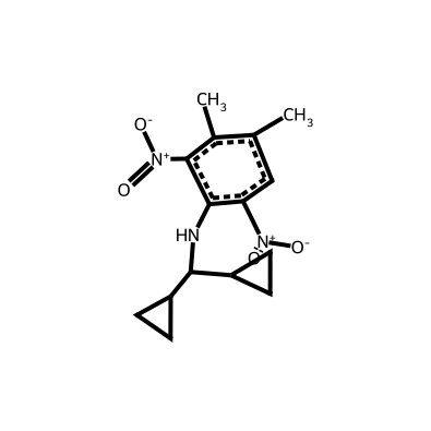 Cc1cc([N+](=O)[O-])c(NC(C2CC2)C2CC2)c([N+](=O)[O-])c1C